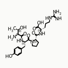 C[C@@H](O)[C@H](N)C(=O)N[C@@H](Cc1ccc(O)cc1)C(=O)N1CCC[C@H]1C(=O)N[C@@H](CCCNC(=N)N)C(=O)O